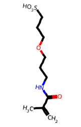 C=C(C)C(=O)NCCCOCCCS(=O)(=O)O